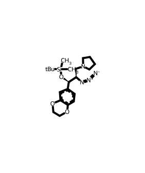 CC(C)(C)[Si](C)(C)O[C@H](c1ccc2c(c1)OCCO2)[C@@H](CN1CCCC1)N=[N+]=[N-]